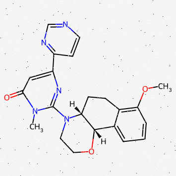 COc1cccc2c1CC[C@@H]1[C@H]2OCCN1c1nc(-c2ccncn2)cc(=O)n1C